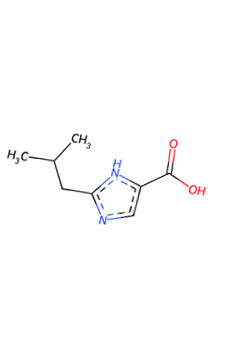 CC(C)Cc1ncc(C(=O)O)[nH]1